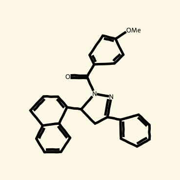 COc1ccc(C(=O)N2N=C(c3ccccc3)CC2c2cccc3ccccc23)cc1